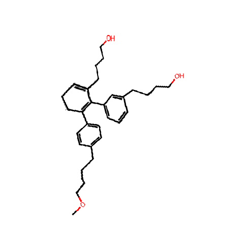 COCCCCc1ccc(C2=C(c3cccc(CCCCO)c3)C(CCCCO)=CC[CH]2)cc1